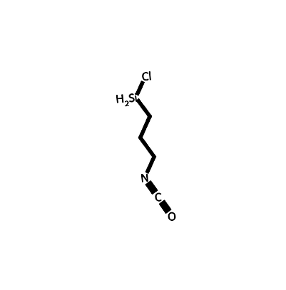 O=C=NCCC[SiH2]Cl